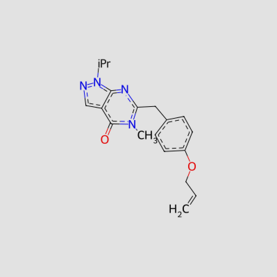 C=CCOc1ccc(Cc2nc3c(cnn3C(C)C)c(=O)n2C)cc1